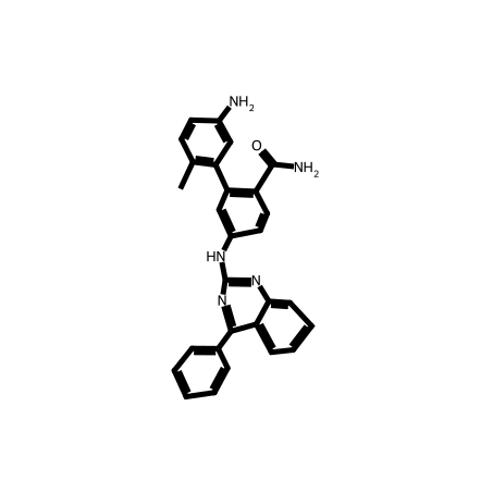 Cc1ccc(N)cc1-c1cc(Nc2nc(-c3ccccc3)c3ccccc3n2)ccc1C(N)=O